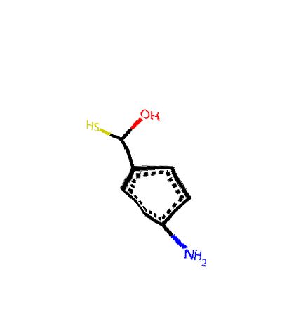 Nc1ccc(C(O)S)cc1